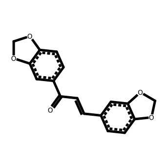 O=C(C=Cc1ccc2c(c1)OCO2)c1ccc2c(c1)OCO2